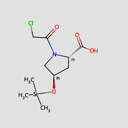 C[Si](C)(C)O[C@@H]1C[C@@H](C(=O)O)N(C(=O)CCl)C1